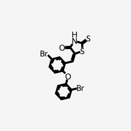 O=C1NC(=S)S/C1=C/c1cc(Br)ccc1Oc1ccccc1Br